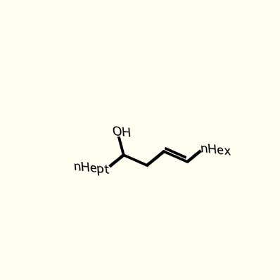 CCCCCC/C=C/CC(O)CCCCCCC